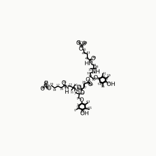 Cc1cc(OCC(CNC(C)(C)CNC(=O)CCCCO[N+](=O)[O-])OC(=O)/C=C/C(=O)OC(CNC(C)(C)CNC(=O)CCCCO[N+](=O)[O-])COc2cc(C)c(O)c(C)c2C)c(C)c(C)c1O